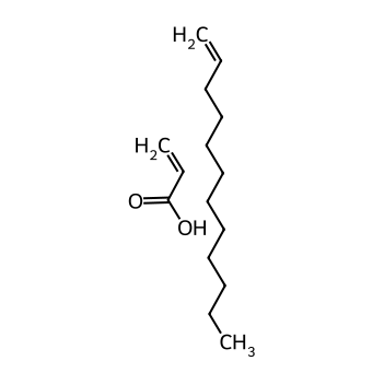 C=CC(=O)O.C=CCCCCCCCCCC